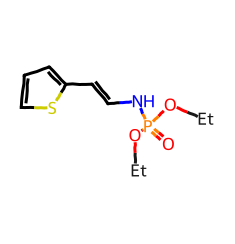 CCOP(=O)(NC=Cc1cccs1)OCC